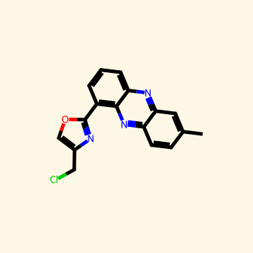 Cc1ccc2nc3c(-c4nc(CCl)co4)cccc3nc2c1